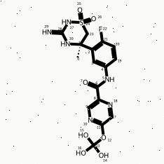 C[C@@]1(c2cc(NC(=O)c3cnc(OC(O)(O)O)cn3)ccc2F)CS(=O)(=O)NC(=N)N1